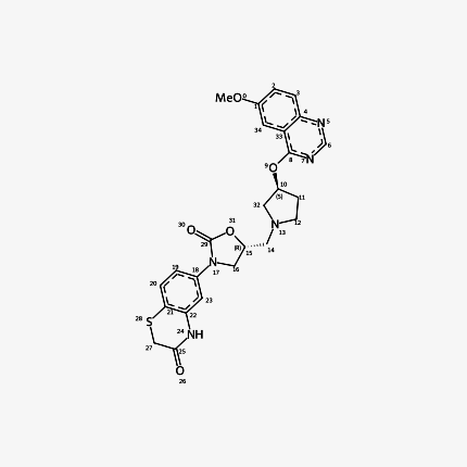 COc1ccc2ncnc(O[C@H]3CCN(C[C@@H]4CN(c5ccc6c(c5)NC(=O)CS6)C(=O)O4)C3)c2c1